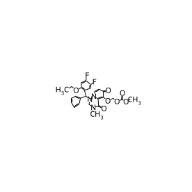 CCOc1cc(F)c(F)cc1C(c1ccccc1)N1CN(C)C(=O)c2c(OCOC(=O)OC)c(=O)ccn21